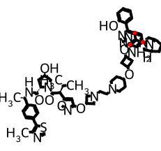 Cc1ncsc1-c1ccc([C@H](C)NC(=O)[C@@H]2C[C@@H](O)CN2C(=O)[C@H](c2cc(OC3CN(CCN4CCC(OC5CC(Oc6cc(N7C8CC[C@@H]7CN(c7cc(-c9ccccc9O)nnc7N)C8)ccn6)C5)CC4)C3)no2)C(C)C)cc1